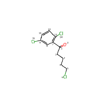 O=C(CCCCCl)c1cc(Cl)ccc1Cl